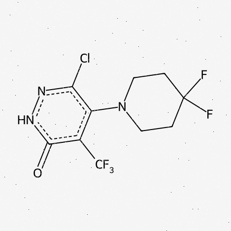 O=c1[nH]nc(Cl)c(N2CCC(F)(F)CC2)c1C(F)(F)F